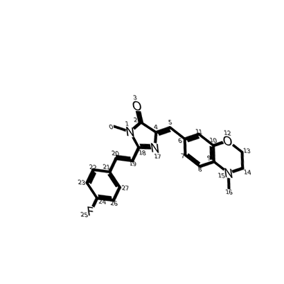 CN1C(=O)/C(=C/c2ccc3c(c2)OCCN3C)N=C1/C=C/c1ccc(F)cc1